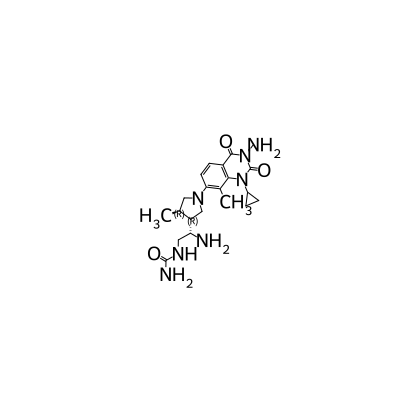 Cc1c(N2C[C@H](C(N)CNC(N)=O)[C@@H](C)C2)ccc2c(=O)n(N)c(=O)n(C3CC3)c12